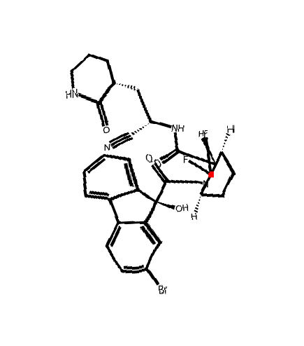 N#C[C@H](C[C@H]1CCCNC1=O)NC(=O)[C@@H]1[C@H]2CC[C@H](CC2(F)F)N1C(=O)[C@@]1(O)c2ccccc2-c2ccc(Br)cc21